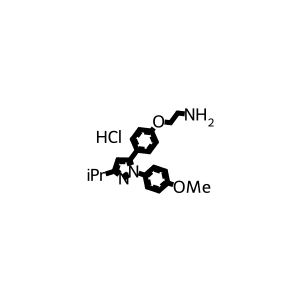 COc1ccc(-n2nc(C(C)C)cc2-c2ccc(OCCN)cc2)cc1.Cl